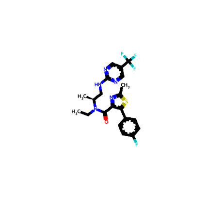 CCN(C(=O)c1nc(C)sc1-c1ccc(F)cc1)[C@@H](C)CNc1ncc(C(F)(F)F)cn1